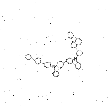 c1ccc(-c2ccc(-c3ccc(-n4c5ccccc5c5cc(-c6ccc7c(c6)c6ccccc6n7-c6cccc(-c7ccc8c9c(cccc79)-c7ccccc7-8)c6)ccc54)cc3)cc2)cc1